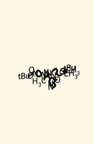 Cc1c(-c2cc(OC(CO[Si](C)(C)C(C)(C)C)c3ccccn3)c3ccnn3c2)nnn1C1CCN(C(=O)OC(C)(C)C)CC1